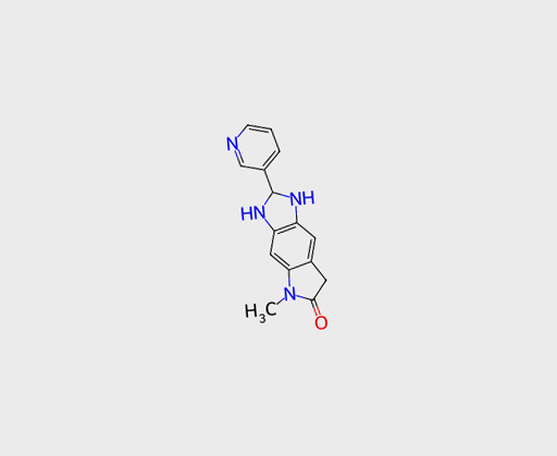 CN1C(=O)Cc2cc3c(cc21)NC(c1cccnc1)N3